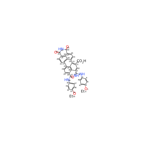 CCOc1ccc(NC(=N)c2cc(C(=O)O)c3c4ccc5c6c(ccc(c7ccc(C(=O)Nc8ccc(OCC)cc8)c2c73)c64)C(=O)NC5=O)cc1